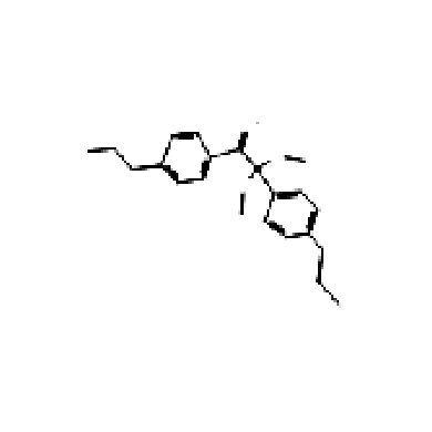 CCCc1ccc(C(=O)C(OC)(OC)c2ccc(CCC)cc2)cc1